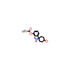 CCCC(=O)Oc1cccc(C2(N(C)C)CCC(=O)CC2)c1